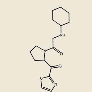 O=C(c1nccs1)C1CCCN1C(=O)CNC1CCCCC1